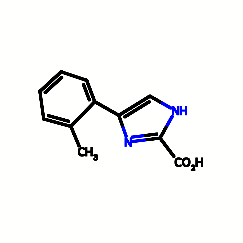 Cc1ccccc1-c1c[nH]c(C(=O)O)n1